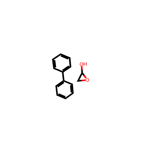 OC1CO1.c1ccc(-c2ccccc2)cc1